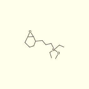 CC[Si](CC)(CCCC1CCCC2OC12)OC